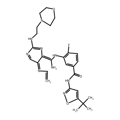 C=C/N=C1/C=NC(NCCN2CCOCC2)=N/C1=C(/N)Nc1cc(C(=O)Nc2cc(C(C)(C)C)on2)ccc1F